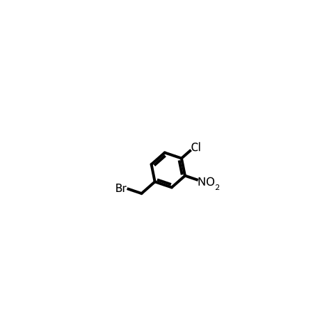 O=[N+]([O-])c1cc(CBr)ccc1Cl